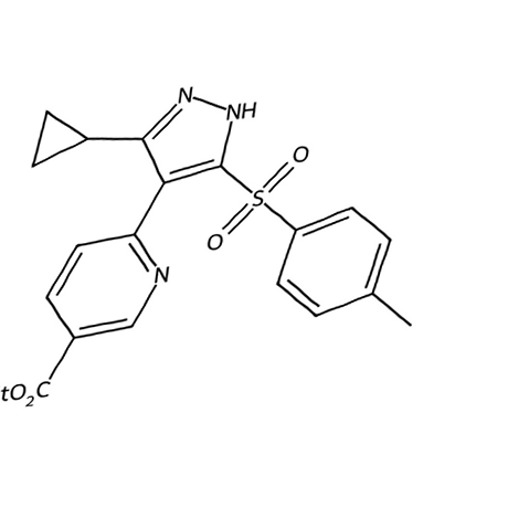 CCOC(=O)c1ccc(-c2c(C3CC3)n[nH]c2S(=O)(=O)c2ccc(C)cc2)nc1